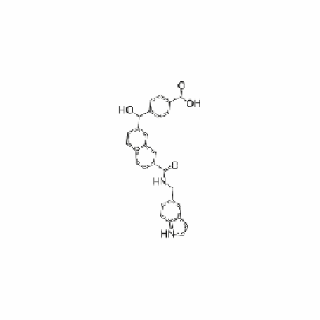 O=C(O)c1ccc(C(O)c2ccc3ccc(C(=O)NCc4ccc5[nH]ccc5c4)cc3c2)cc1